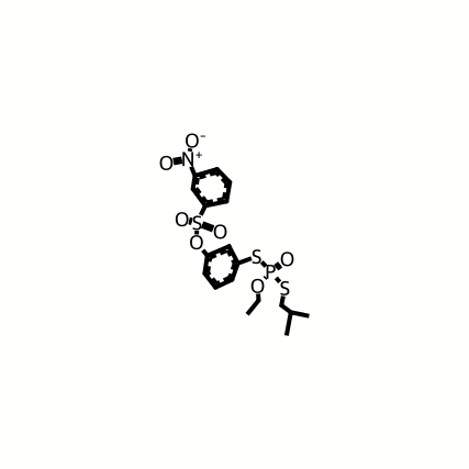 CCOP(=O)(SCC(C)C)Sc1cccc(OS(=O)(=O)c2cccc([N+](=O)[O-])c2)c1